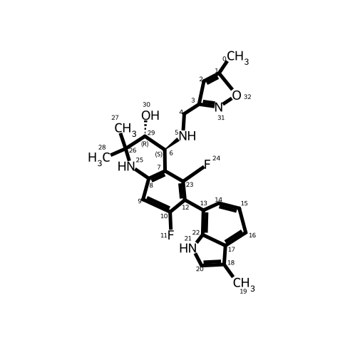 Cc1cc(CN[C@H]2c3c(cc(F)c(-c4cccc5c(C)c[nH]c45)c3F)NC(C)(C)[C@@H]2O)no1